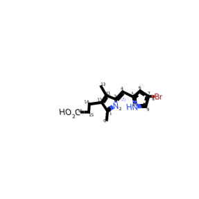 CC1=N/C(=C\c2cc(Br)c[nH]2)C(C)=C1CCC(=O)O